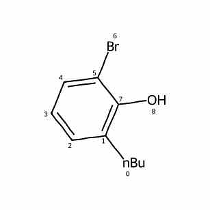 CCCCc1cccc(Br)c1O